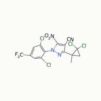 CC1(c2nn(-c3c(Cl)cc(C(F)(F)F)cc3Cl)c([N+](=O)[O-])c2C#N)CC1(Cl)Cl